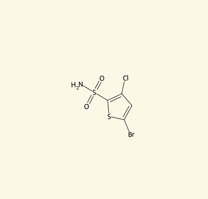 NS(=O)(=O)c1sc(Br)cc1Cl